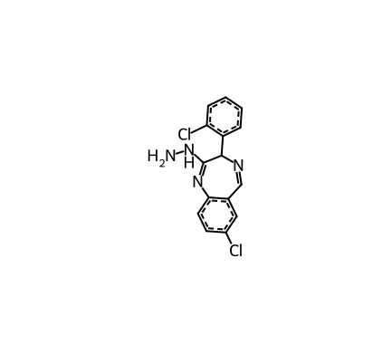 NNC1=Nc2ccc(Cl)cc2C=NC1c1ccccc1Cl